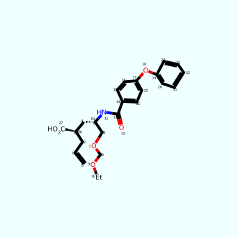 C=CC[C@H](C[C@@H](COCOCC)NC(=O)c1ccc(Oc2ccccc2)cc1)C(=O)O